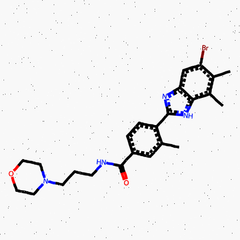 Cc1cc(C(=O)NCCCN2CCOCC2)ccc1-c1nc2cc(Br)c(C)c(C)c2[nH]1